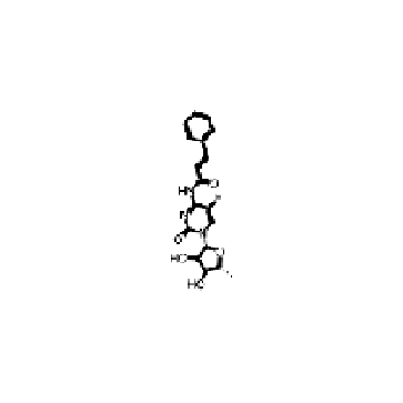 C[C@H]1O[C@@H](n2cc(F)c(NC(=O)/C=C/c3ccccc3)nc2=O)C(O)C1O